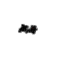 c1ccc(-c2cccc3c2ccc2c4cc5c6ccccc6n(-c6nc(-c7cc8ccccc8c8ccccc78)c7ccccc7n6)c5c5c6ccccc6n(c32)c45)c(-c2ccc(-c3nc(-n4c5ccccc5c5cc6c7ccc8ccccc8c7n7c8ccccc8c(c54)c67)nc4ccccc34)cc2)c1